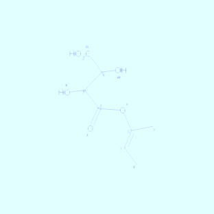 CC=C(C)OC(=O)C(O)C(O)C(=O)O